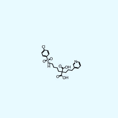 O=C(O)C(CCCCNS(=O)(=O)c1ccc(Cl)cc1)(CCCc1cccnc1)C(=O)O